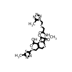 CO[C@]1(NC(=O)CSCn2nnnc2C)C(=O)N2C(C(=O)O)=C(CSc3nnc(C)s3)CSC21